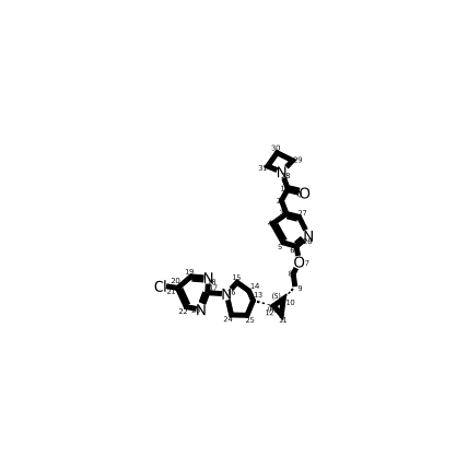 O=C(Cc1ccc(OCC[C@@H]2C[C@@H]2C2CCN(c3ncc(Cl)cn3)CC2)nc1)N1CCC1